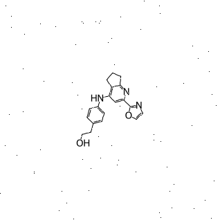 OCCc1ccc(Nc2cc(-c3ncco3)nc3c2CCC3)cc1